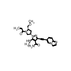 C=CC(=O)N1C[C@@H](n2nc(C#Cc3ccc4nccn4c3)c(C(N)=O)c2NC)C[C@@H]1COC